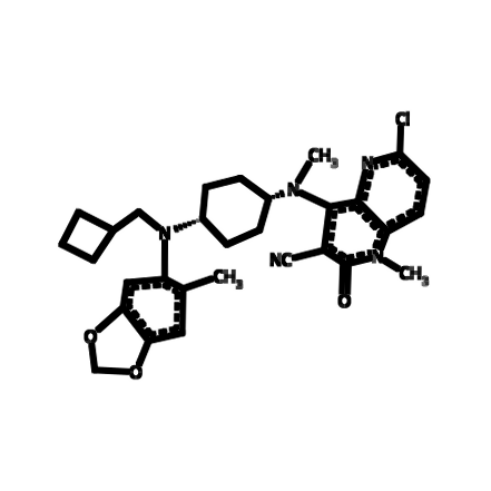 Cc1cc2c(cc1N(CC1CCC1)[C@H]1CC[C@@H](N(C)c3c(C#N)c(=O)n(C)c4ccc(Cl)nc34)CC1)OCO2